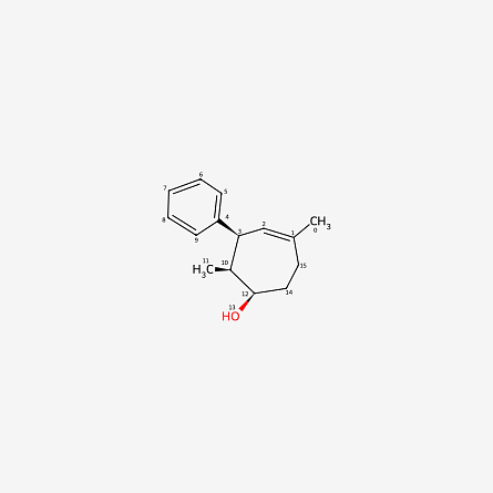 CC1=C[C@H](c2ccccc2)[C@H](C)[C@H](O)CC1